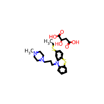 CCSc1ccc2c(c1)N(CCCN1CCN(C)CC1)c1ccccc1S2.O=C(O)CC(O)C(=O)O